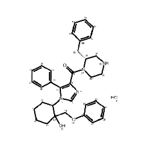 Cl.O=C(c1ncn(C2CCCCC2(O)COc2ccccc2)c1-c1ccccc1)N1CCNC[C@H]1Cc1ccccc1